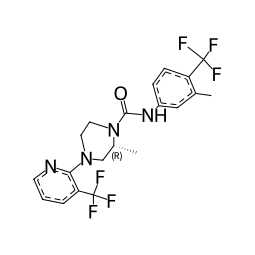 Cc1cc(NC(=O)N2CCN(c3ncccc3C(F)(F)F)C[C@H]2C)ccc1C(F)(F)F